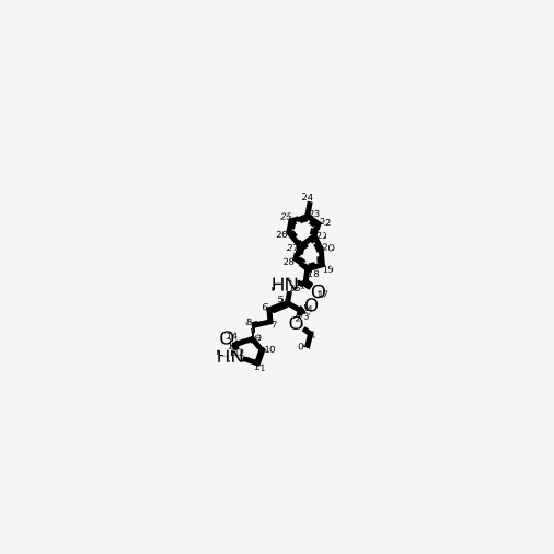 CCOC(=O)C(=CCC[C@H]1CCNC1=O)NC(=O)c1ccc2cc(C)ccc2c1